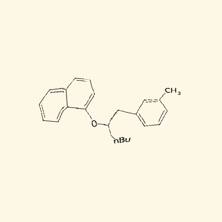 C[CH]CCC(Cc1cccc(C)c1)Oc1cccc2ccccc12